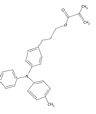 C=C(C)C(=O)OCCCc1ccc(N(c2ccccc2)c2ccc(C)cc2)cc1